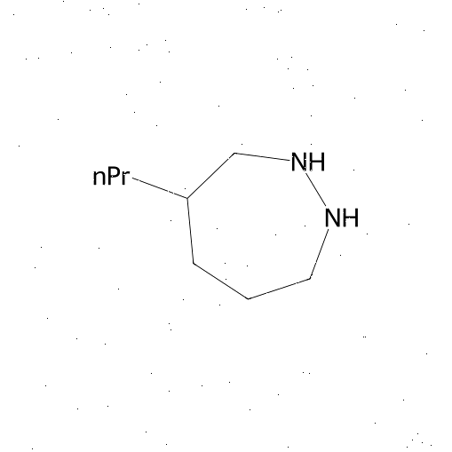 CCCC1CCCNNC1